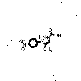 CC1=CN(C(=O)O)NN1c1ccc([N+](=O)[O-])cc1